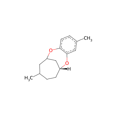 Cc1ccc2c(c1)O[C@@H]1CCC(C)CC(C1)O2